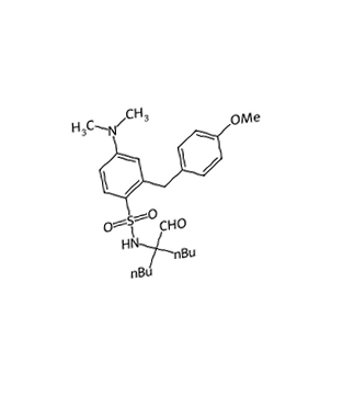 CCCCC(C=O)(CCCC)NS(=O)(=O)c1ccc(N(C)C)cc1Cc1ccc(OC)cc1